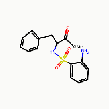 COC(=O)C(Cc1ccccc1)NS(=O)(=O)c1ccccc1N